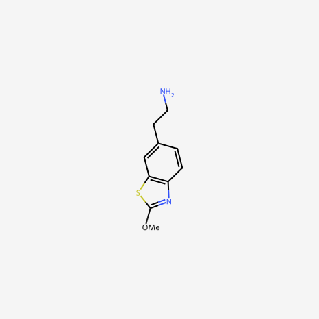 COc1nc2ccc(CCN)cc2s1